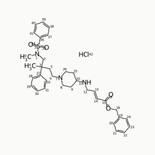 CN(CC(C)(CCN1CCC(NCC=CC(=O)OCc2ccccc2)CC1)c1ccccc1)S(=O)(=O)c1ccccc1.Cl